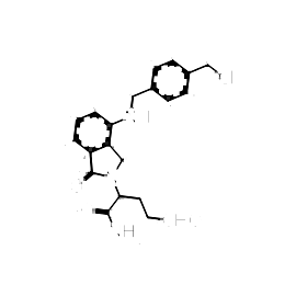 NC(=O)C(CCC=O)N1Cc2c(NCc3ccc(CCl)cc3)cccc2C1=O